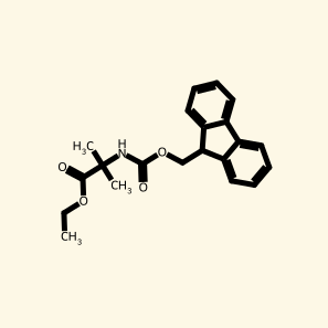 CCOC(=O)C(C)(C)NC(=O)OCC1c2ccccc2-c2ccccc21